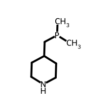 CP(C)CC1CCNCC1